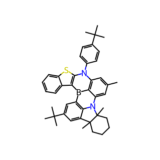 Cc1cc2c3c(c1)N1c4c(cc(C(C)(C)C)cc4C4(C)CCCCC14C)B3c1c(sc3ccccc13)N2c1ccc(C(C)(C)C)cc1